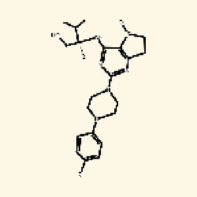 CC(C)[C@](C)(CO)Nc1nc(N2CCN(c3ccc(Cl)cc3)CC2)nc2c1[S+]([O-])CC2